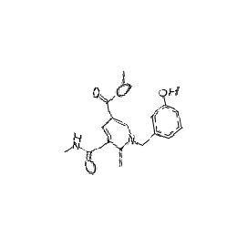 C=C1C(C(=O)NC)=CC(C(=O)OC)=CN1Cc1cccc(O)c1